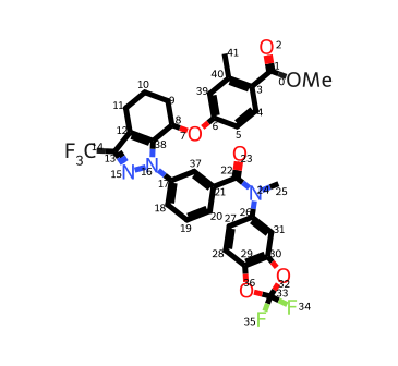 COC(=O)c1ccc(OC2CCCc3c(C(F)(F)F)nn(-c4cccc(C(=O)N(C)c5ccc6c(c5)OC(F)(F)O6)c4)c32)cc1C